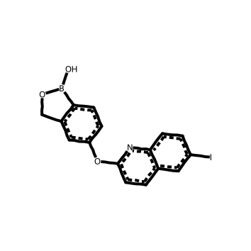 OB1OCc2cc(Oc3ccc4cc(I)ccc4n3)ccc21